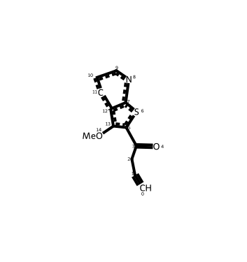 C#CCC(=O)c1sc2ncccc2c1OC